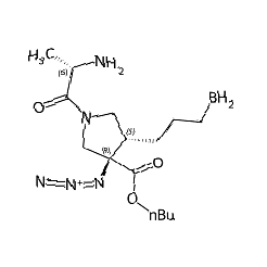 BCCC[C@H]1CN(C(=O)[C@H](C)N)C[C@@]1(N=[N+]=[N-])C(=O)OCCCC